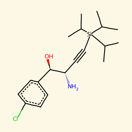 CC(C)[Si](C#C[C@H](N)[C@H](O)c1ccc(Cl)cc1)(C(C)C)C(C)C